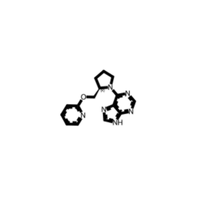 c1ccc(OC[C@H]2CCCN2c2ncnc3[nH]cnc23)nc1